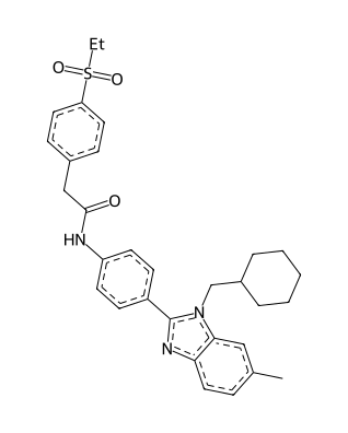 CCS(=O)(=O)c1ccc(CC(=O)Nc2ccc(-c3nc4ccc(C)cc4n3CC3CCCCC3)cc2)cc1